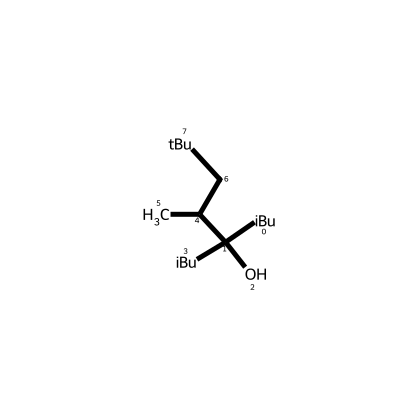 CCC(C)C(O)(C(C)CC)C(C)CC(C)(C)C